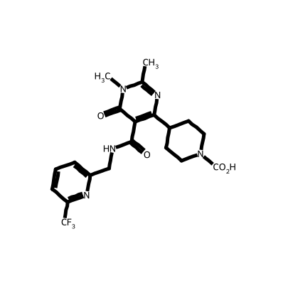 Cc1nc(C2CCN(C(=O)O)CC2)c(C(=O)NCc2cccc(C(F)(F)F)n2)c(=O)n1C